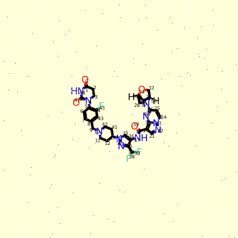 O=C1CCN(c2ccc(CN3CCC(n4cc(NC(=O)c5cnn6ccc(N7C[C@H]8C[C@@H]7CO8)nc56)c(C(F)F)n4)CC3)cc2F)C(=O)N1